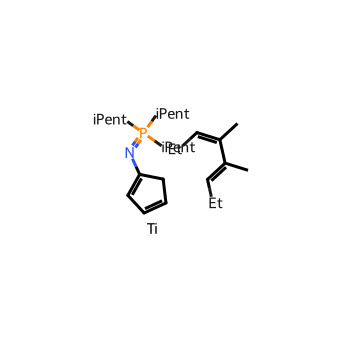 CCC=C(C)C(C)=CCC.CCCC(C)P(=NC1=CC=CC1)(C(C)CCC)C(C)CCC.[Ti]